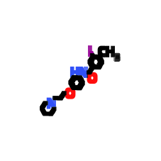 Cc1ccc(C(=O)Nc2ccc(OCCCN3CCCCC3)cc2)cc1I